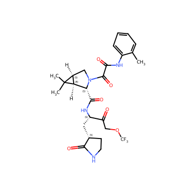 Cc1ccccc1NC(=O)C(=O)N1C[C@H]2[C@@H]([C@H]1C(=O)N[C@@H](C[C@@H]1CCNC1=O)C(=O)COC(F)(F)F)C2(C)C